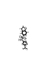 CC(C)c1nsc(NS(=O)(=O)c2ccc3c(c2)CCO3)n1